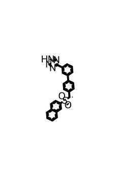 O=S(=O)([CH]c1ccc(-c2cccc(-c3nn[nH]n3)c2)cc1)c1ccc2ccccc2c1